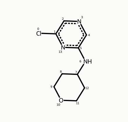 Clc1cncc(NC2CCOCC2)n1